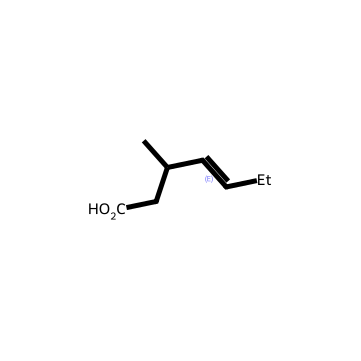 CC/C=C/C(C)CC(=O)O